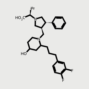 CC(C)[C@H](C(=O)O)N1C[C@H](CN2CCC(O)CC2CCCc2ccc(F)c(F)c2)[C@@H](c2ccccc2)C1